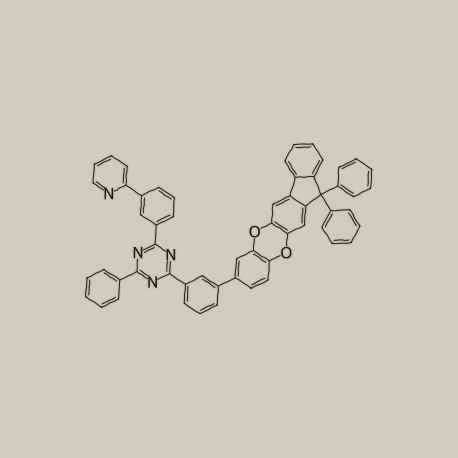 c1ccc(-c2nc(-c3cccc(-c4ccc5c(c4)Oc4cc6c(cc4O5)C(c4ccccc4)(c4ccccc4)c4ccccc4-6)c3)nc(-c3cccc(-c4ccccn4)c3)n2)cc1